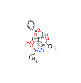 CCCC(=O)N[C@H]1C(C)O[C@@H]2CO[C@@H](c3ccccc3)O[C@H]2[C@@H]1O